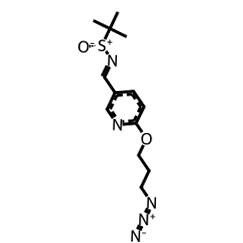 CC(C)(C)[S@@+]([O-])/N=C/c1ccc(OCCCN=[N+]=[N-])nc1